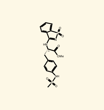 COC(=O)[C@H](Cc1ccc(NS(C)(=O)=O)cc1)NC1=NS(=O)(=O)c2ccccc21